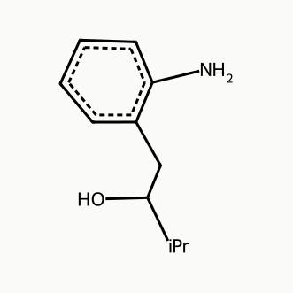 CC(C)C(O)Cc1ccccc1N